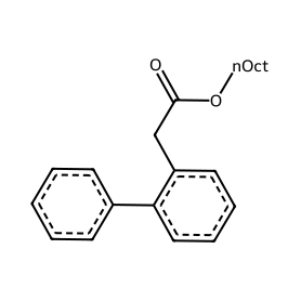 CCCCCCCCOC(=O)Cc1ccccc1-c1ccccc1